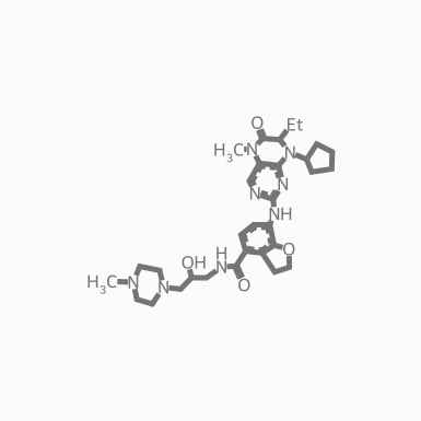 CCC1C(=O)N(C)c2cnc(Nc3ccc(C(=O)NCC(O)CN4CCN(C)CC4)c4c3OCC4)nc2N1C1CCCC1